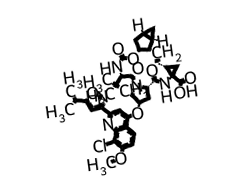 C=C[C@@H]1C[C@]1(NC(=O)[C@@H]1C[C@@H](Oc2cc(-c3cc(C(C)C)on3)nc3c(Cl)c(OC)ccc23)CN1C(=O)[C@@H](NC(=O)O[C@@H]1C[C@@H]2C[C@@H]2C1)C(C)(C)C)C(=O)O